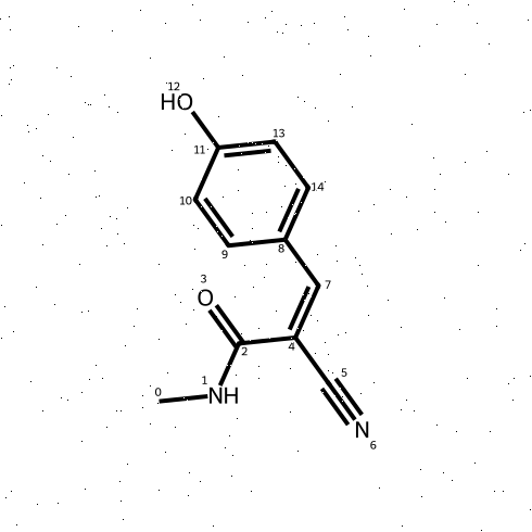 CNC(=O)C(C#N)=Cc1ccc(O)cc1